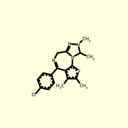 Cc1sc2c(c1C)C(c1ccc(Cl)cc1)=NCC1=NN(C)C(C)N12